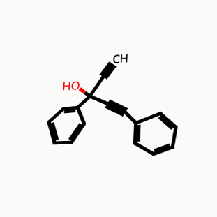 C#CC(O)(C#Cc1ccccc1)c1ccccc1